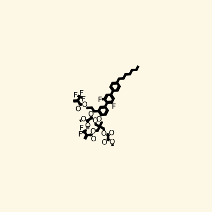 C=C(C(=O)OCCCc1cc(-c2c(F)cc(-c3ccc(CCCCCCC)cc3)cc2F)ccc1OCC(COC(=O)C(=C)C(F)(F)F)(COC(=O)C(=O)OC)COC(=O)C(=O)OC)C(F)(F)F